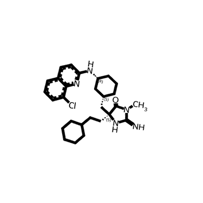 CN1C(=N)N[C@@](CCC2CCCCC2)(C[C@H]2CCC[C@@H](Nc3ccc4cccc(Cl)c4n3)C2)C1=O